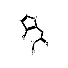 CCOC(=O)Cc1sccc1Cl